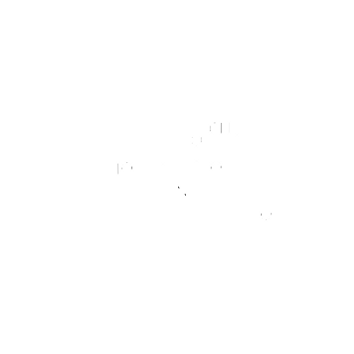 COC(=O)/C(=C/CO)n1ccc2ccc(C=O)cc21